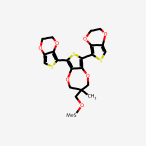 CSOCC1(C)COc2c(-c3scc4c3OCCO4)sc(-c3scc4c3OCCO4)c2OC1